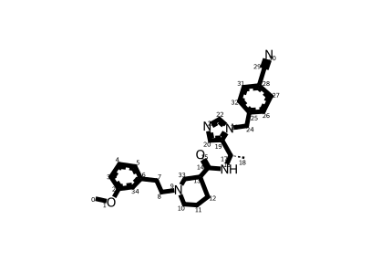 COc1cccc(CCN2CCCC(C(=O)N[C@@H](C)c3cncn3Cc3ccc(C#N)cc3)C2)c1